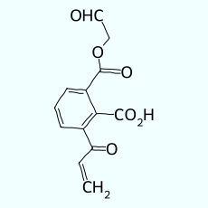 C=CC(=O)c1cccc(C(=O)OCC=O)c1C(=O)O